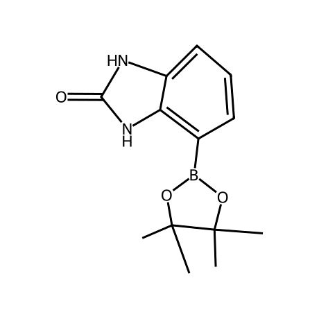 CC1(C)OB(c2cccc3[nH]c(=O)[nH]c23)OC1(C)C